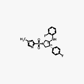 Cn1cnc(S(=O)(=O)N2C[C@@H](Nc3ccccc3F)[C@H](c3ccc(F)cc3)C2)c1